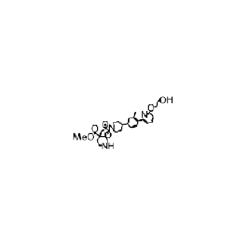 COC(=O)C1(CS(=O)(=O)N2CCC(c3ccc(-c4cccc(OCCO)n4)c(C)c3)CC2)CCNCC1